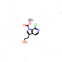 CC(C)(C)OC(=O)n1cc(CCO)c2ccnc(Cl)c21